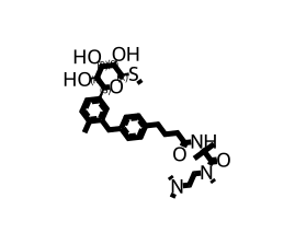 CS[C@H]1O[C@@H](c2ccc(C)c(Cc3ccc(CCCC(=O)NC(C)(C)C(=O)N(C)CCN(C)C)cc3)c2)[C@H](O)[C@@H](O)[C@@H]1O